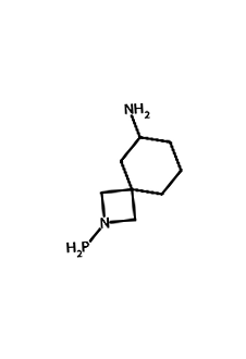 NC1CCCC2(C1)CN(P)C2